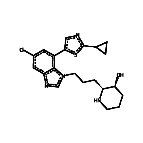 O[C@H]1CCCN[C@@H]1CCCn1cnc2cc(Cl)cc(-c3cnc(C4CC4)s3)c21